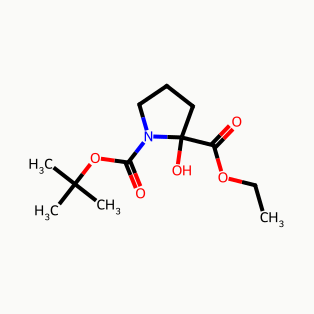 CCOC(=O)C1(O)CCCN1C(=O)OC(C)(C)C